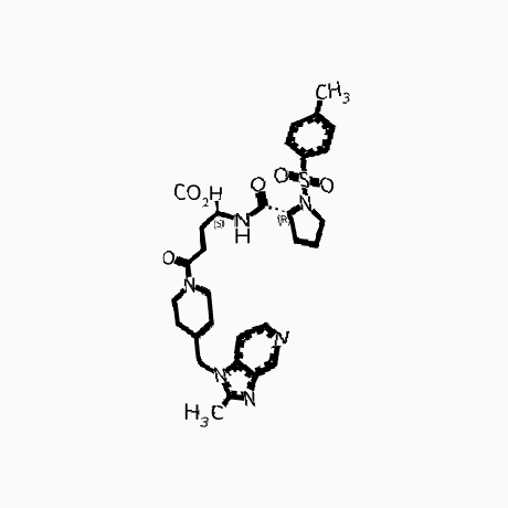 Cc1ccc(S(=O)(=O)N2CCC[C@@H]2C(=O)N[C@@H](CCC(=O)N2CCC(Cn3c(C)nc4cnccc43)CC2)C(=O)O)cc1